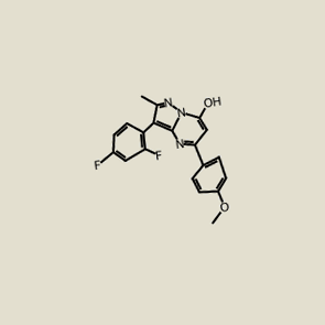 COc1ccc(-c2cc(O)n3nc(C)c(-c4ccc(F)cc4F)c3n2)cc1